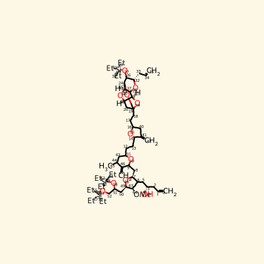 C=CC[C@H](O)CC1[C@H](CC2OC(CCC3OC(CCC45C[C@H]6O[C@H]7C(O4)C(O[Si](CC)(CC)CC)[C@H](CC=C)O[C@H]7C6O5)CC3=C)CC(C)C2=C)O[C@H](CC(CO[Si](CC)(CC)CC)O[Si](CC)(CC)CC)[C@@H]1OC